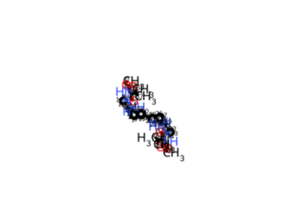 COC(=O)N[C@H](C(=O)N1CCC[C@H]1c1nc2ccc3cc(-c4cnc5c(ccc6nc([C@@H]7CCCN7C(=O)[C@@H](NC(=O)OC)C(C)C)[nH]c65)c4)ccc3c2[nH]1)C(C)C